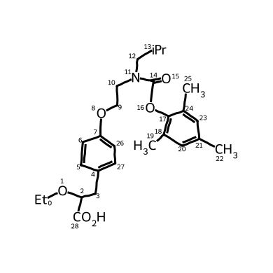 CCOC(Cc1ccc(OCCN(CC(C)C)C(=O)Oc2c(C)cc(C)cc2C)cc1)C(=O)O